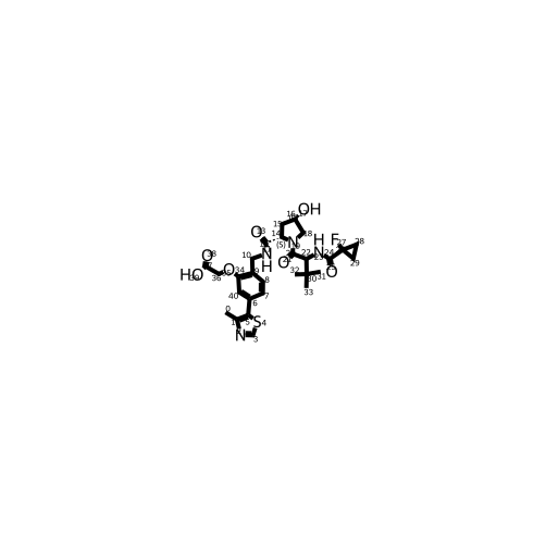 Cc1ncsc1-c1ccc(CNC(=O)[C@@H]2C[C@@H](O)CN2C(=O)C(NC(=O)C2(F)CC2)C(C)(C)C)c(OCC(=O)O)c1